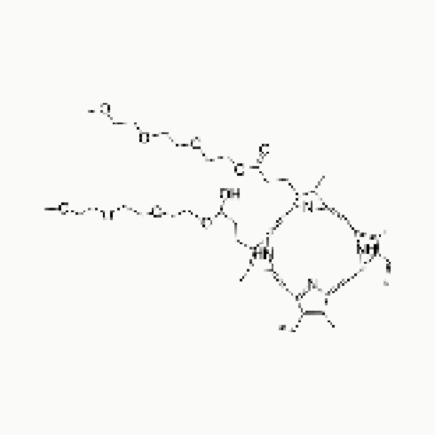 C=CC1=C(C)c2cc3[nH]c(cc4nc(cc5[nH]c(cc1n2)c(C)c5CCC(O)OCCOCCOCCOC)C(CCC(=O)OCCOCCOCCOC)C4C)c(C)c3C=C